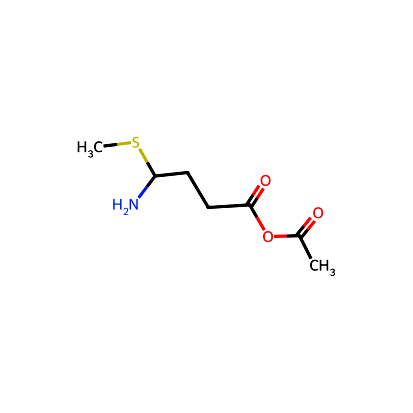 CSC(N)CCC(=O)OC(C)=O